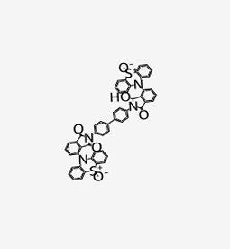 O=C1c2cccc(N3c4ccccc4[S+]([O-])c4ccccc43)c2C(=O)N1c1ccc(-c2ccc(N3C(=O)c4cccc(N5c6ccccc6[S+]([O-])c6ccccc65)c4C3O)cc2)cc1